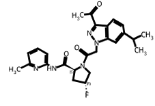 CC(=O)c1nn(CC(=O)N2C[C@H](F)C[C@H]2C(=O)Nc2cccc(C)n2)c2cc(C(C)C)ccc12